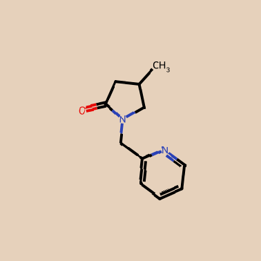 CC1CC(=O)N(Cc2ccccn2)C1